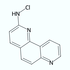 ClNc1ccc2ccc3ncccc3c2n1